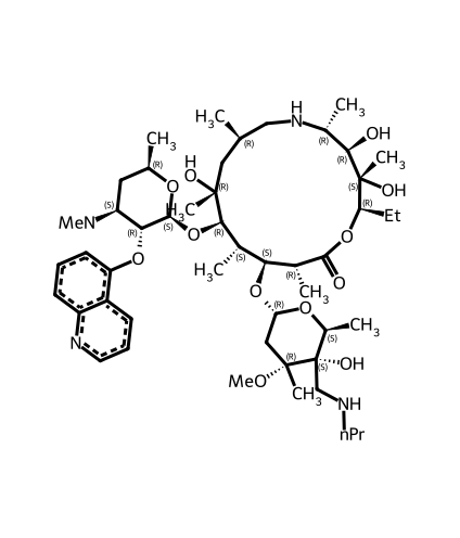 CCCNC[C@]1(O)[C@H](C)O[C@@H](O[C@H]2[C@H](C)[C@@H](O[C@@H]3O[C@H](C)C[C@H](NC)[C@H]3Oc3cccc4ncccc34)[C@](C)(O)C[C@@H](C)CN[C@H](C)[C@@H](O)[C@](C)(O)[C@@H](CC)OC(=O)[C@@H]2C)C[C@@]1(C)OC